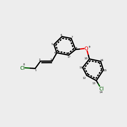 ClC/C=C/c1cccc(Oc2ccc(Cl)cc2)c1